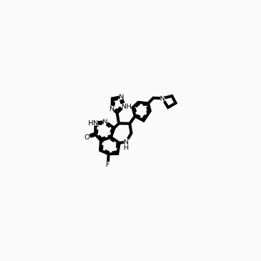 O=c1[nH]nc2c3c(cc(F)cc13)NCC(c1ccc(CN3CCC3)cc1)C2c1ncn[nH]1